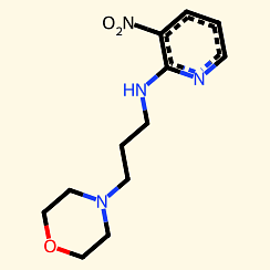 O=[N+]([O-])c1cccnc1NCCCN1CCOCC1